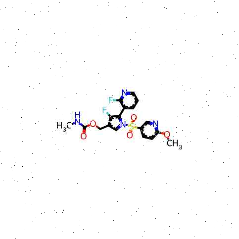 CNC(=O)OCc1cn(S(=O)(=O)c2ccc(OC)nc2)c(-c2cccnc2F)c1F